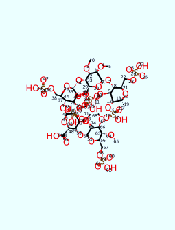 COC1[C@@H](OC)[C@H](O[C@H]2[C@H](OC)[C@@H](OS(=O)(=O)O)[C@@H](C)O[C@@H]2COS(=O)(=O)O)O[C@@H](C(=O)O)[C@H]1O[C@H]1O[C@H](COS(=O)(=O)O)[C@@H](O[C@@H]2O[C@H](C(=O)O)[C@@H](O[C@H]3O[C@H](COS(=O)(=O)O)[C@@H](OC)[C@H](OC)[C@H]3OC)[C@H](OC)[C@H]2OC)[C@H](OS(=O)(=O)O)[C@H]1OS(=O)(=O)O